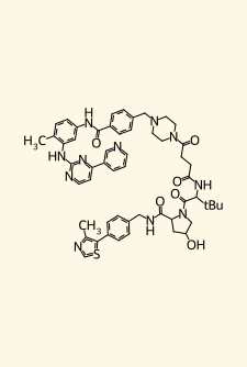 Cc1ccc(NC(=O)c2ccc(CN3CCN(C(=O)CCC(=O)NC(C(=O)N4CC(O)CC4C(=O)NCc4ccc(-c5scnc5C)cc4)C(C)(C)C)CC3)cc2)cc1Nc1nccc(-c2cccnc2)n1